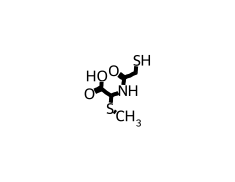 CSC(NC(=O)CS)C(=O)O